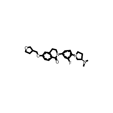 CN(C)[C@@H]1CCN(c2ccc(N3CCc4cc(OCC5CCOC5)ccc4C3=O)cc2F)C1